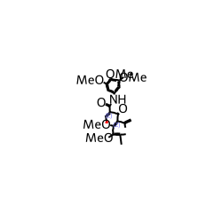 C=C(C)/C(C(=O)/C(=C\C)C(=O)Nc1cc(OC)c(OC)c(OC)c1)=C(/OC)C(OC)=C(C)C